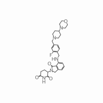 O=C1CCC(N2Cc3cccc(NCc4ccc(CN5CCC(N6CCOCC6)CC5)cc4F)c3C2=O)C(=O)N1